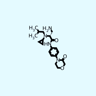 CC(C)CN(C1CC1)[C@H](CN)C(=O)Nc1ccc(N2CCOCC2=O)cc1